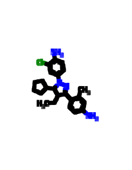 CCC1C(c2ccc(N)cc2C)=NN(c2ccc(N)c(Cl)c2)C1C1CCCC1